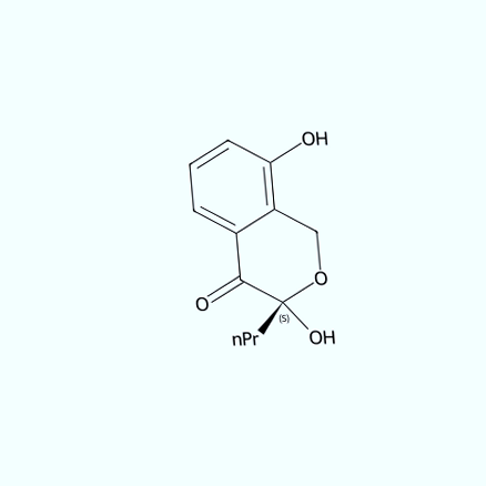 CCC[C@]1(O)OCc2c(O)cccc2C1=O